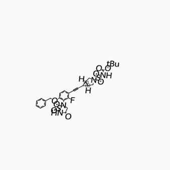 CC(C)(C)OC(=O)NS(=O)(=O)N1C[C@@H]2C(C#Cc3ccc(OCc4ccccc4)c(N4CC(=O)NS4(=O)=O)c3F)[C@@H]2C1